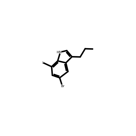 CCCc1c[nH]c2c(I)cc(Br)cc12